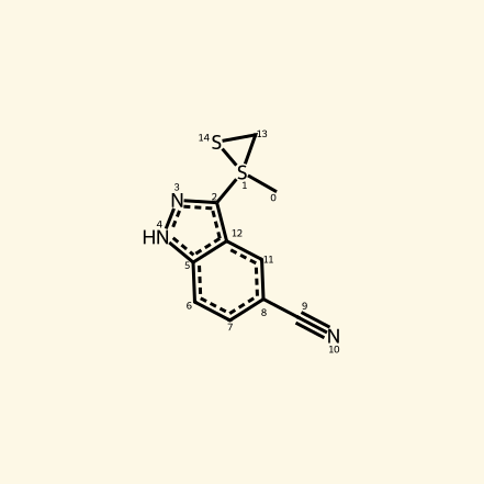 CS1(c2n[nH]c3ccc(C#N)cc23)CS1